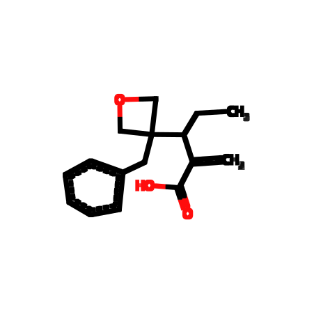 C=C(C(=O)O)C(CC)C1(Cc2ccccc2)COC1